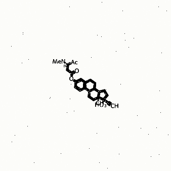 C#C[C@]1(O)CCC2C3CCc4cc(OC(=O)C[C@H](NC)C(C)=O)ccc4C3CC[C@@]21C